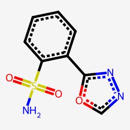 NS(=O)(=O)c1ccccc1-c1nnco1